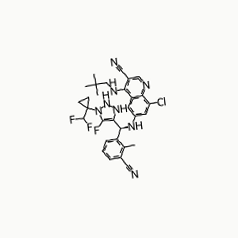 Cc1c(C#N)cccc1[C@H](Nc1cc(Cl)c2ncc(C#N)c(NCC(C)(C)C)c2c1)C1=C(F)N(C2(C(F)F)CC2)NN1